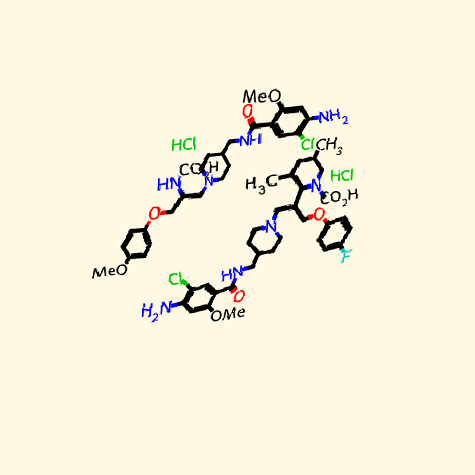 COc1cc(N)c(Cl)cc1C(=O)NCC1CCN(CC(COc2ccc(F)cc2)C2C(C)CC(C)CN2C(=O)O)CC1.COc1ccc(OCC(CN2CCC(CNC(=O)c3cc(Cl)c(N)cc3OC)CC2)NC(=O)O)cc1.Cl.Cl